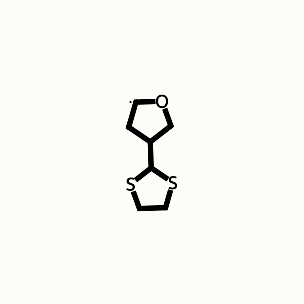 [CH]1CC(C2SCCS2)CO1